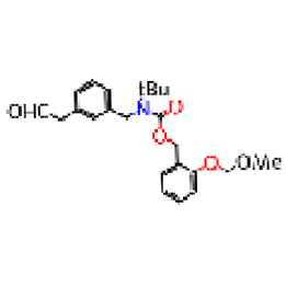 COCOc1ccccc1COC(=O)N(Cc1cccc(CC=O)c1)C(C)(C)C